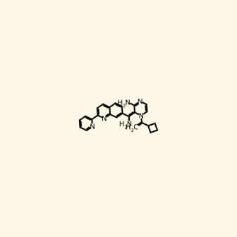 C=C(C1CCC1)N1C=CN=C(N)/C1=C(/N)c1ccc2ccc(-c3ccccn3)nc2c1